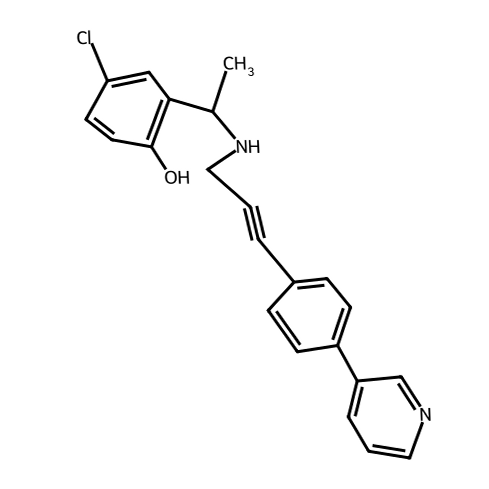 CC(NCC#Cc1ccc(-c2cccnc2)cc1)c1cc(Cl)ccc1O